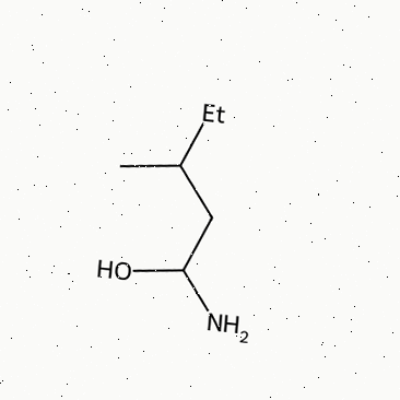 CCC(C)CC(N)O